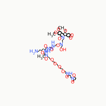 COc1cc2c3c(n(CCCN(CCO)COCCNC(=O)CNC(=O)[C@H](CCCCN)NC(=O)[C@H](C)NC(=O)CCOCCOCCOCCOCCNC(=O)CCN4C(=O)C=CC4=O)c(=O)c2cc1OC)-c1cc2c(cc1C3=O)OCO2